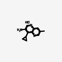 Cc1cnc2c(C3CC3)c(N)cnc2c1.Cl